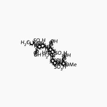 C=C/C=C\C(=C\S(=O)(=O)O)N=Nc1c(SOOO)cc2cc(N=Nc3c(SOOO)cc4cc(S(=O)(=O)O)c(N=Nc5ccc6cc(S(=O)(=O)O)c(N=Nc7ccc(OC)cc7SOOO)c(O)c6c5)c(N)c4c3O)ccc2c1O